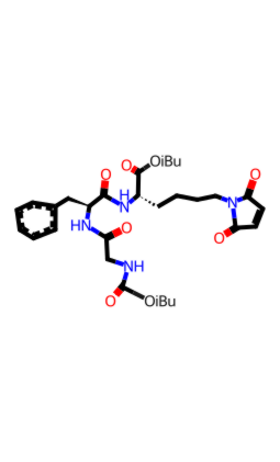 CC(C)COC(=O)NCC(=O)N[C@@H](Cc1ccccc1)C(=O)N[C@@H](CCCCN1C(=O)C=CC1=O)C(=O)OCC(C)C